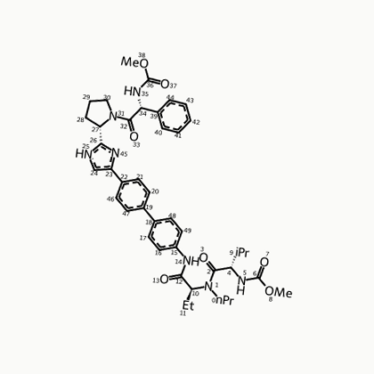 CCCN(C(=O)[C@@H](NC(=O)OC)C(C)C)[C@@H](CC)C(=O)Nc1ccc(-c2ccc(-c3c[nH]c([C@@H]4CCCN4C(=O)[C@H](NC(=O)OC)c4ccccc4)n3)cc2)cc1